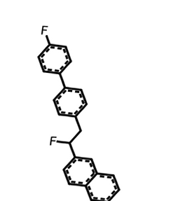 Fc1ccc(-c2ccc(CC(F)c3ccc4ccccc4c3)cc2)cc1